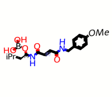 COc1ccc(CNC(=O)/C=C/C(=O)N[C@@H](CC(C)C)OB(O)O)cc1